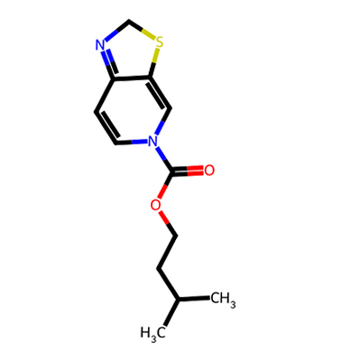 CC(C)CCOC(=O)N1C=CC2=NCSC2=C1